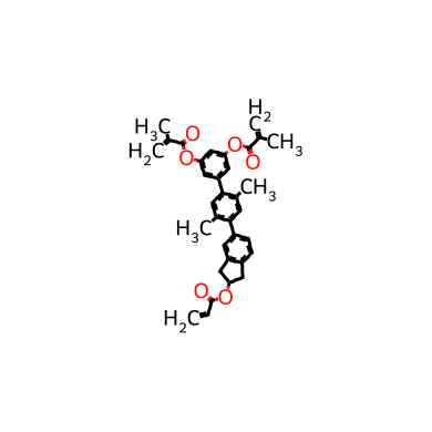 C=CC(=O)OC1Cc2ccc(-c3cc(C)c(-c4cc(OC(=O)C(=C)C)cc(OC(=O)C(=C)C)c4)cc3C)cc2C1